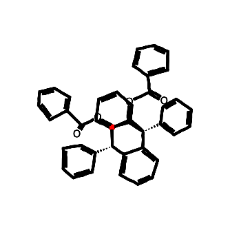 O=C(OC1C(OC(=O)c2ccccc2)[C@]2(c3ccccc3)c3ccccc3[C@@]1(c1ccccc1)c1ccccc12)c1ccccc1